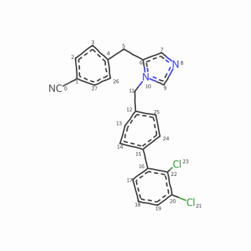 N#Cc1ccc(Cc2cncn2Cc2ccc(-c3cccc(Cl)c3Cl)cc2)cc1